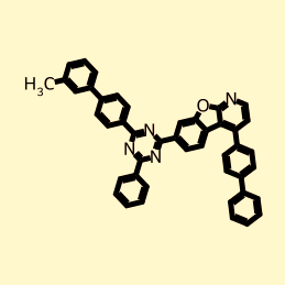 Cc1cccc(-c2ccc(-c3nc(-c4ccccc4)nc(-c4ccc5c(c4)oc4nccc(-c6ccc(-c7ccccc7)cc6)c45)n3)cc2)c1